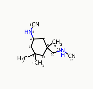 CC1(C)CC(NC#N)CC(C)(CNC#N)C1